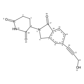 O=C1CCC(N2Cc3cc(C#CCO)ccc3C2=O)C(=O)N1